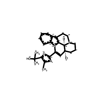 CC[C@@]12C=C(c3nc(C)c(C(C)(C)O)o3)n3c4c(c5ccccc53)CCN(CCC1)[C@H]42